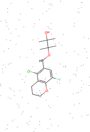 CC(C)(O)C(C)(C)OBc1cc(F)c2c(c1Cl)CCCO2